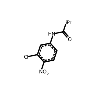 CC(C)C(=O)Nc1ccc([N+](=O)[O-])c(Cl)c1